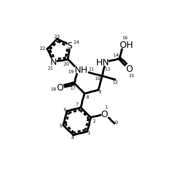 COc1ccccc1C(CC(C)(C)NC(=O)O)C(=O)Nc1nccs1